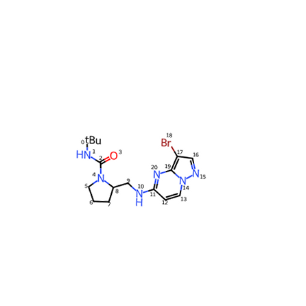 CC(C)(C)NC(=O)N1CCCC1CNc1ccn2ncc(Br)c2n1